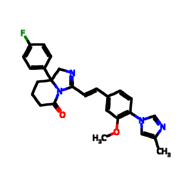 COc1cc(/C=C/C2=NCC3(c4ccc(F)cc4)CCCC(=O)N23)ccc1-n1cnc(C)c1